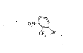 O=[N+]([O-])c1cccc(Br)c1C(F)(F)F